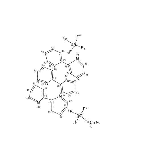 F[B-](F)(F)F.F[B-](F)(F)F.[Co+2].c1ccc(-c2ccccn2)nc1.c1ccc(-c2ccccn2)nc1.c1ccc(-c2ccccn2)nc1